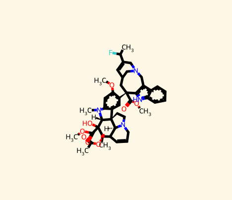 CC[C@]12C=CCN3CC[C@@]4(c5cc([C@@]6(C(=O)OC)CC7C=C(C(C)F)CN(Cc8c6[nH]c6ccccc86)C7)c(OC)cc5N(C)[C@H]4C(O)(C(=O)OC)[C@@H]1OC(C)=O)[C@@H]32